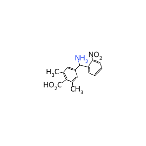 Cc1cc(C(N)c2ccccc2[N+](=O)[O-])cc(C)c1C(=O)O